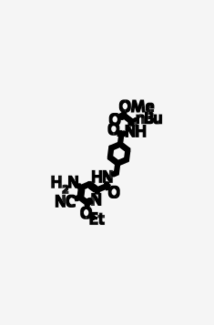 CCCC[C@@H](NC(=O)C1CCC(CNC(=O)c2cc(N)c(C#N)c(OCC)n2)CC1)C(=O)OC